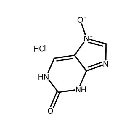 Cl.O=c1[nH]cc2[n+]([O-])cnc-2[nH]1